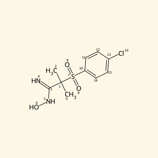 CC(C)(C(=N)NO)S(=O)(=O)c1ccc(Cl)cc1